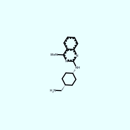 CNc1nc(N[C@H]2CC[C@@H](CN)CC2)nc2ccccc12